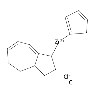 C1=CCCC2CC[CH]([Zr+2][C]3=CC=CC3)C2=C1.[Cl-].[Cl-]